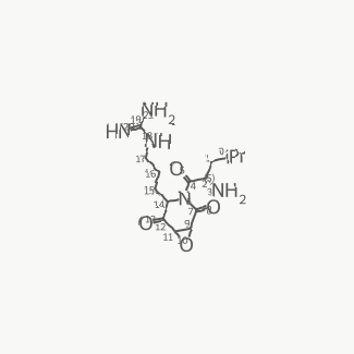 CC(C)C[C@H](N)C(=O)N1C(=O)C2OC2C(=O)C1CCCNC(=N)N